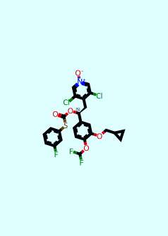 O=C(O[C@@H](Cc1c(Cl)c[n+]([O-])cc1Cl)c1ccc(OC(F)F)c(OCC2CC2)c1)Sc1cccc(F)c1